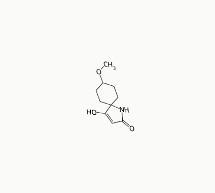 COC1CCC2(CC1)NC(=O)C=C2O